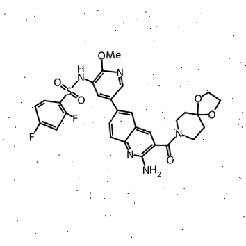 COc1ncc(-c2ccc3nc(N)c(C(=O)N4CCC5(CC4)OCCO5)cc3c2)cc1NS(=O)(=O)c1ccc(F)cc1F